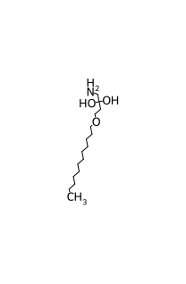 CCCCCCCCCCCCOCCC(O)(O)CN